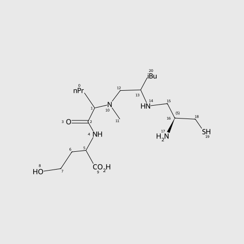 CCCC(C(=O)NC(CCO)C(=O)O)N(C)CC(NC[C@H](N)CS)C(C)CC